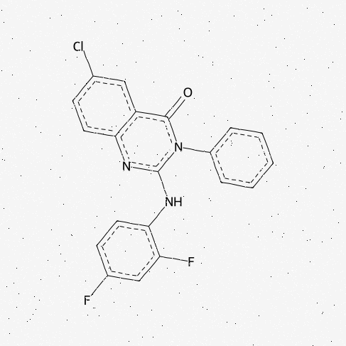 O=c1c2cc(Cl)ccc2nc(Nc2ccc(F)cc2F)n1-c1ccccc1